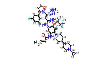 C=CC(=O)Nc1cc(NC(=N)/C=C(\NN)N2OCC[C@@H]2c2cc(F)cc(F)c2)c(O[C@H](C)C(F)(F)F)cc1N1CCC(N2CCN(C3CC3)CC2)CC1